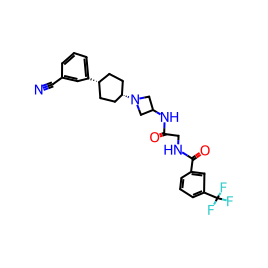 N#Cc1cccc([C@H]2CC[C@@H](N3CC(NC(=O)CNC(=O)c4cccc(C(F)(F)F)c4)C3)CC2)c1